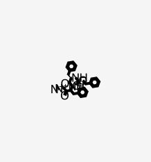 [N-]=[N+]=CC(=O)C(Cc1ccccc1)NC(=O)[C@@H](Cc1ccccc1)NC(=O)OCc1ccccc1